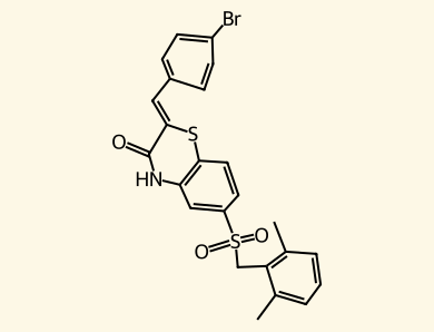 Cc1cccc(C)c1CS(=O)(=O)c1ccc2c(c1)NC(=O)C(=Cc1ccc(Br)cc1)S2